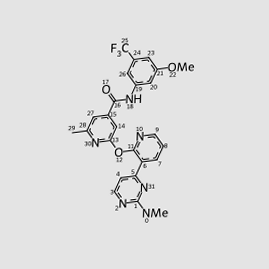 CNc1nccc(-c2cccnc2Oc2cc(C(=O)Nc3cc(OC)cc(C(F)(F)F)c3)cc(C)n2)n1